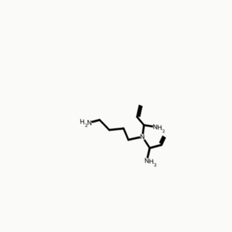 C=CC(N)N(CCCCN)C(N)C=C